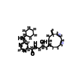 C=C1/C=C\C=C/CCN(C[C@@H](O)CNC(=O)c2cc(NC3CCCCC3)ncn2)CC1